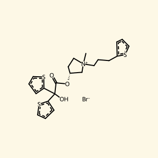 C[N+]1(CCCc2cccs2)CC[C@@H](OC(=O)C(O)(c2cccs2)c2cccs2)C1.[Br-]